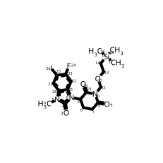 Cn1c(=O)n(C2CCC(=O)N(COCC[Si](C)(C)C)C2=O)c2cc(F)c(I)cc21